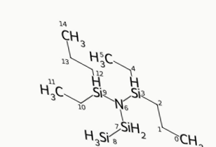 CCC[SiH](CC)N([SiH2][SiH3])[SiH](CC)CCC